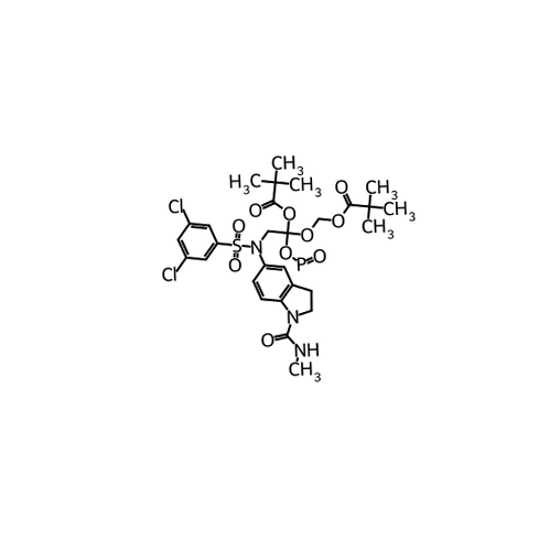 CNC(=O)N1CCc2cc(N(CC(OCOC(=O)C(C)(C)C)(OP=O)OC(=O)C(C)(C)C)S(=O)(=O)c3cc(Cl)cc(Cl)c3)ccc21